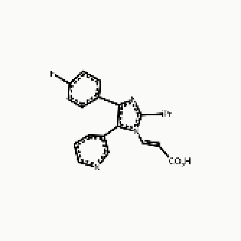 CC(C)c1nc(-c2ccc(F)cc2)c(-c2cccnc2)n1/C=C/C(=O)O